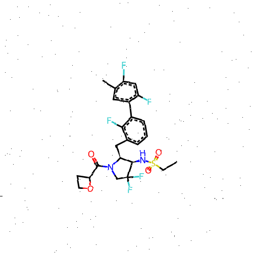 CCS(=O)(=O)N[C@@H]1[C@H](Cc2cccc(-c3cc(C)c(F)cc3F)c2F)N(C(=O)C2CCO2)CC1(F)F